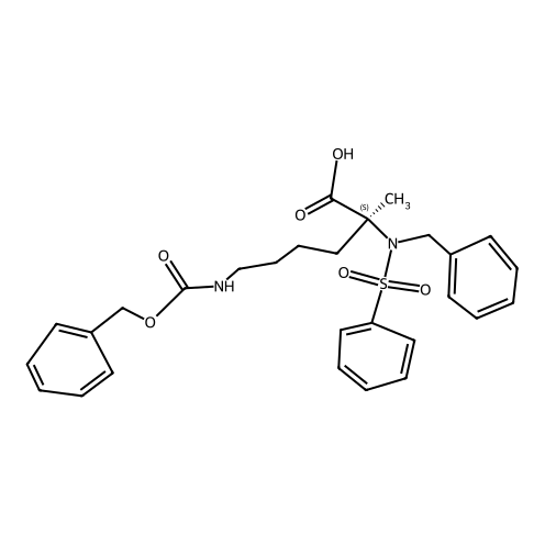 C[C@](CCCCNC(=O)OCc1ccccc1)(C(=O)O)N(Cc1ccccc1)S(=O)(=O)c1ccccc1